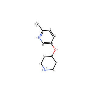 FC(F)(F)c1ccc(OC2CCNCC2)cn1